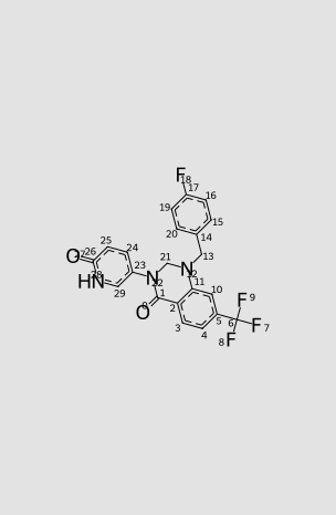 O=C1c2ccc(C(F)(F)F)cc2N(Cc2ccc(F)cc2)CN1c1ccc(=O)[nH]c1